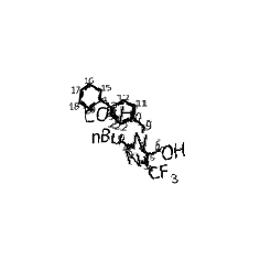 CCCCc1nc(C(F)(F)F)c(CO)n1Cc1ccc(-c2ccccc2C(=O)O)cc1